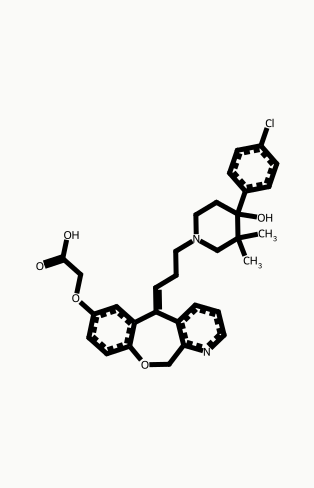 CC1(C)CN(CCC=C2c3cc(OCC(=O)O)ccc3OCc3ncccc32)CCC1(O)c1ccc(Cl)cc1